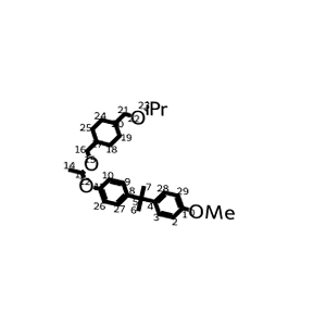 COc1ccc(C(C)(C)c2ccc(OC(C)OCC3CCC(COC(C)C)CC3)cc2)cc1